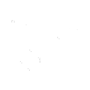 O[C@H]1CCN(c2ccc(Nc3nc(-c4ccc5c(c4)OCCN5)cn4ccnc34)cc2)C1